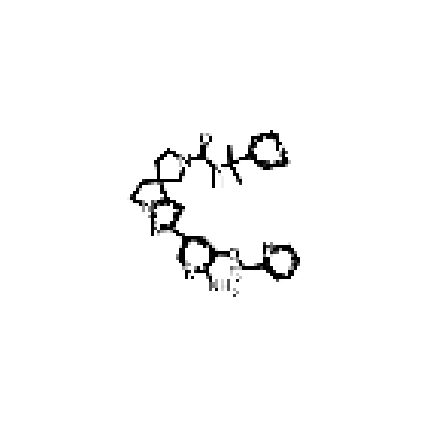 C[C@H](Oc1cc(-c2cc3n(n2)CCC32CCN(C(=O)NC(C)(C)c3ccncc3)C2)cnc1N)c1ccccn1